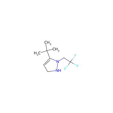 CC(C)(C)C1=CCNN1CC(F)(F)F